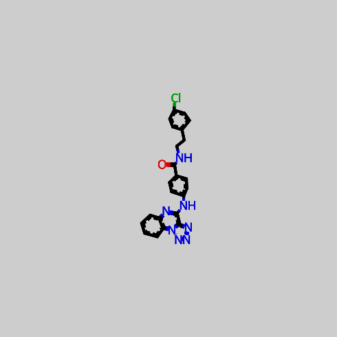 O=C(NCCc1ccc(Cl)cc1)c1ccc(Nc2nc3ccccc3n3nnnc23)cc1